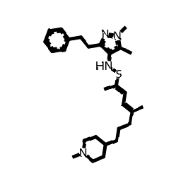 C/C(=C\C=C(/C)SNc1c(CCc2ccccc2)nn(C)c1C)CCCC1CCN(C)CC1